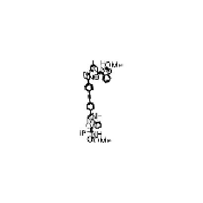 COC(=O)N[C@H](C(=O)N1CCC[C@H]1c1ncc(-c2ccc(C#Cc3ccc(-c4cnc([C@@H]5C=C(C)CN5C(=O)[C@H](NC(=O)OC)c5ccccc5)[nH]4)cc3)cc2)[nH]1)C(C)C